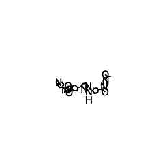 CC(=O)N1CCN(C(=O)c2ccc(Nc3nccc(-c4ccc(S(=O)(=O)N(C)c5ccncc5)cc4)n3)cc2)CC1